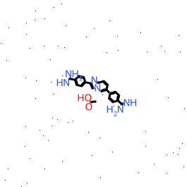 CC(=O)O.N=C(N)c1ccc(-c2ccc3nc(-c4ccc(C(=N)N)cc4)cn3c2)cc1